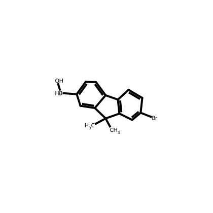 CC1(C)c2cc(Br)ccc2-c2ccc(BO)cc21